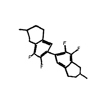 CC1CCc2cc(-c3cc4c(c(F)c3F)CC(C)CC4)c(F)c(F)c2C1